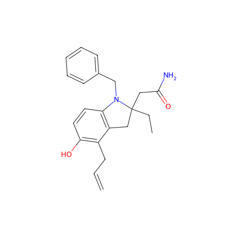 C=CCc1c(O)ccc2c1CC(CC)(CC(N)=O)N2Cc1ccccc1